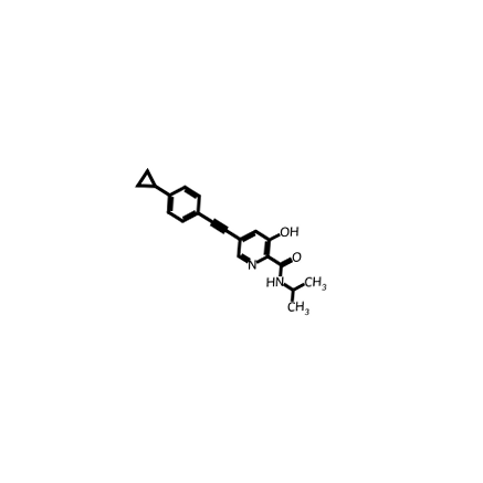 CC(C)NC(=O)c1ncc(C#Cc2ccc(C3CC3)cc2)cc1O